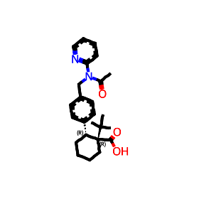 CC(=O)N(Cc1ccc([C@H]2CCCC[C@]2(C(=O)O)C(C)(C)C)cc1)c1ccccn1